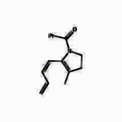 C=C/C=C\C1=C(C)CCN1C(=O)C(C)C